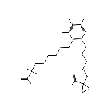 Cc1cc(CCCCCC2(C(=O)O)CC2)c(CCCCCCC(C)(C)C(=O)O)c(C)c1C